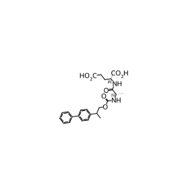 CC(COC(=O)N[C@@H](C)C(=O)N[C@H](CCC(=O)O)C(=O)O)c1ccc(-c2ccccc2)cc1